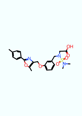 Cc1ccc(-c2nc(COc3cccc(CN(CC(=O)O)S(=O)(=O)N(C)C)c3)c(C)o2)cc1